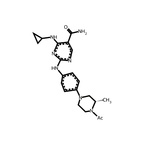 CC(=O)N1CCN(c2ccc(Nc3ncc(C(N)=O)c(NC4CC4)n3)cc2)C[C@@H]1C